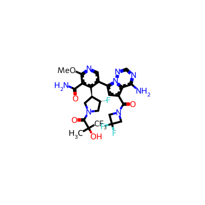 COc1ncc(-c2cc(C(=O)N3CC(F)(F)C3)c3c(N)ncnn23)c([C@@H]2CN(C(=O)C(C)(O)C(F)(F)F)C[C@H]2F)c1C(N)=O